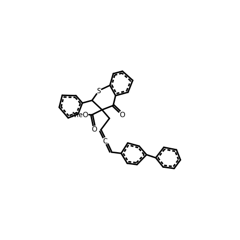 COC(=O)C1(CC=C=Cc2ccc(-c3ccccc3)cc2)C(=O)c2ccccc2SC1c1ccccc1